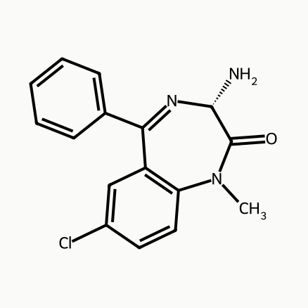 CN1C(=O)[C@@H](N)N=C(c2ccccc2)c2cc(Cl)ccc21